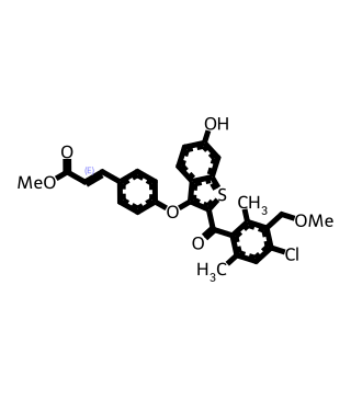 COCc1c(Cl)cc(C)c(C(=O)c2sc3cc(O)ccc3c2Oc2ccc(/C=C/C(=O)OC)cc2)c1C